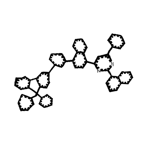 c1ccc(-c2cc(-c3ccc(-c4cccc(-c5ccc6c(c5)-c5ccccc5C6(c5ccccc5)c5ccccc5)c4)c4ccccc34)nc(-c3cccc4ccccc34)n2)cc1